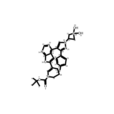 CC(C)(C)OC(=O)N1C=C(c2cc3c(-c4cn(C5CS(O)(O)C5)nc4-c4ccc(F)cc4)ncnc3o2)CCC1